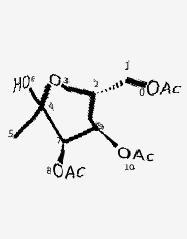 CC(=O)OC[C@H]1OC(C)(O)[C@H](OC(C)=O)[C@@H]1OC(C)=O